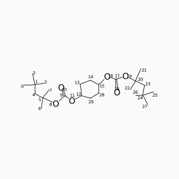 CC(C)(C)CC(C)(C)OC(=O)OC1CCC(OC(=O)OC(C)(C)CC(C)(C)C)CC1